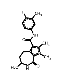 Cc1cc(NC(=O)c2c3c(n(C)c2C)C(=O)NC(C)CC3)ccc1F